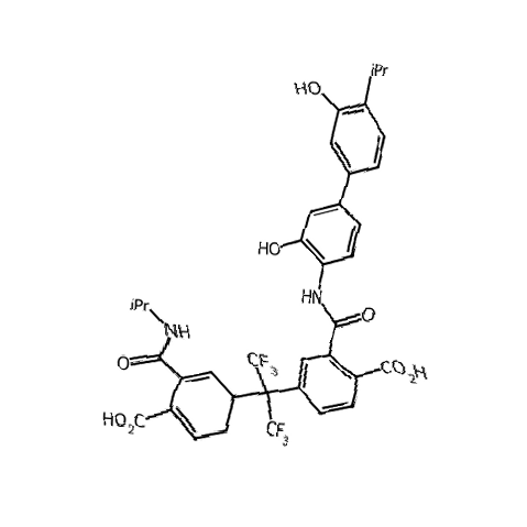 CC(C)NC(=O)C1=CC(C(c2ccc(C(=O)O)c(C(=O)Nc3ccc(-c4ccc(C(C)C)c(O)c4)cc3O)c2)(C(F)(F)F)C(F)(F)F)CC=C1C(=O)O